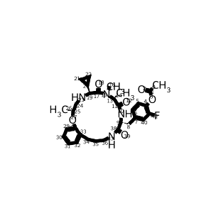 CC(=O)Oc1ccc(C[C@H]2NC(=O)[C@@H](C)N(C)C(=O)[C@H](C3CC3)NC[C@@H](C)Oc3ccccc3CCCNC2=O)cc1F